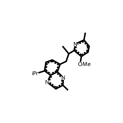 COc1ccc(C)nc1C(C)Cc1ccc(C(C)C)c2ncc(C)nc12